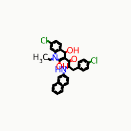 CCN1C(O)=C(C(=O)C(Cc2ccc(Cl)cc2)Nc2ccc3ccccc3c2)C(O)c2ccc(Cl)cc21